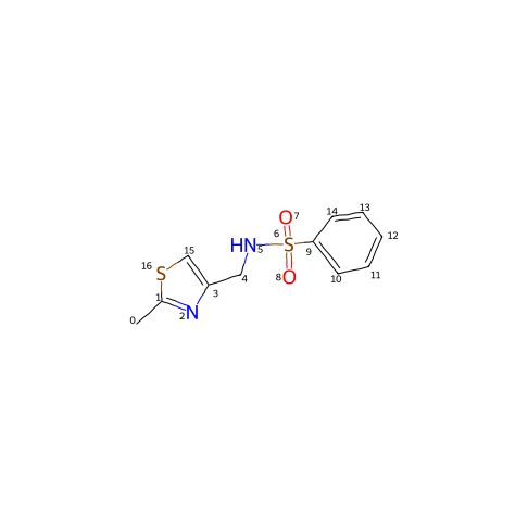 Cc1nc(CNS(=O)(=O)c2ccccc2)cs1